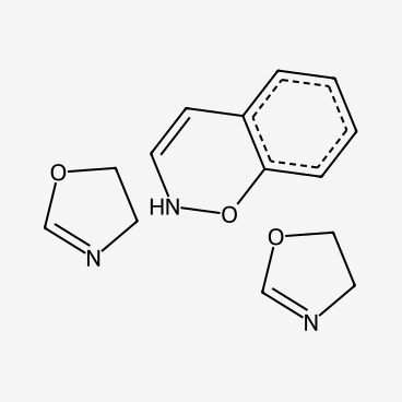 C1=Cc2ccccc2ON1.C1=NCCO1.C1=NCCO1